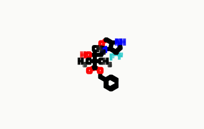 CC(O)(CN1OCC2NCC(F)(F)C21)C(C)(C)C(=O)OCc1ccccc1